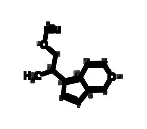 [CH2]CCCOCC(C)c1ccc2coccc1-2